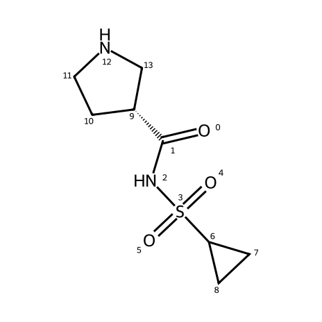 O=C(NS(=O)(=O)C1CC1)[C@@H]1CCNC1